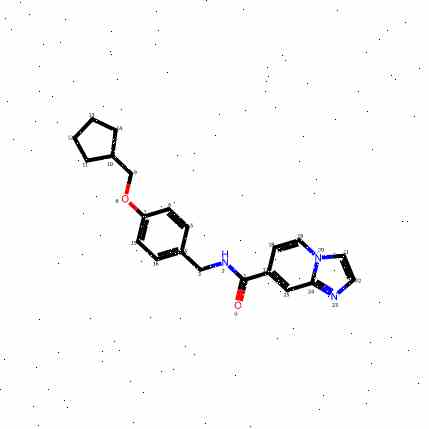 O=C(NCc1ccc(OCC2CCCC2)cc1)c1ccn2ccnc2c1